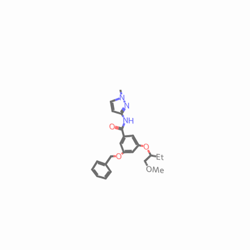 CCC(COC)Oc1cc(OCc2ccccc2)cc(C(=O)Nc2ccn(C)n2)c1